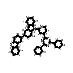 c1ccc(-c2nc(-c3ccccc3)nc(-c3ccnc(-n4c5ccccc5c5cc(-c6ccc7sc8ccccc8c7c6)ccc54)c3)n2)cc1